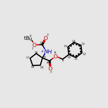 CC(C)(C)OC(=O)NC1(C(=O)OCc2ccccc2)CCCC1